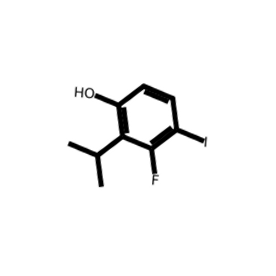 CC(C)c1c(O)ccc(I)c1F